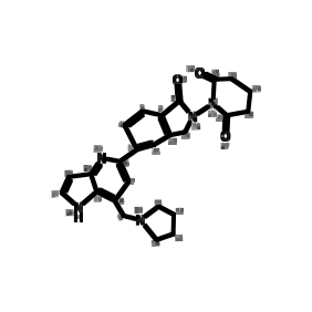 O=C1c2ccc(-c3cc(CN4CCCC4)c4[nH]ccc4n3)cc2CN1N1C(=O)CCCC1=O